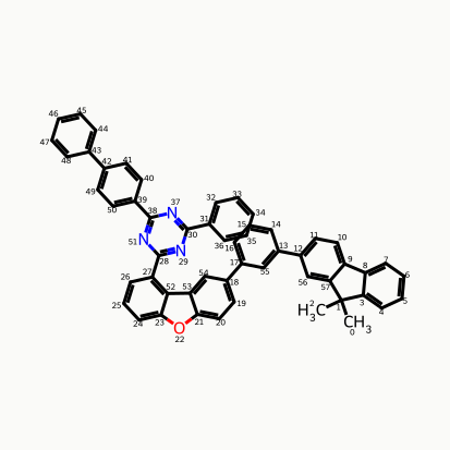 CC1(C)c2ccccc2-c2ccc(-c3cccc(-c4ccc5oc6cccc(-c7nc(-c8ccccc8)nc(-c8ccc(-c9ccccc9)cc8)n7)c6c5c4)c3)cc21